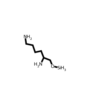 NCCCCC(N)CO[SiH3]